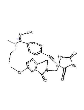 CCCN(C)/C(=N/O)c1ccc(C#C[C@]2(CN3Cc4ccc(OC)cc4C3=O)NC(=O)NC2=O)cc1